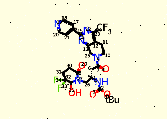 CC(C)(C)OC(=O)N[C@@H](CC(=O)N1CCc2c(nc(-c3ccncc3)nc2C(F)(F)F)C1)CN1C(=O)CCC(F)(F)C1O